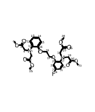 COC(=O)CN(CC(=O)OC)c1ccccc1OCCOc1cc(F)ccc1N(CC(=O)OC)CC(=O)OC